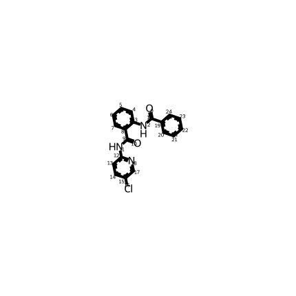 O=C(Nc1ccccc1C(=O)Nc1ccc(Cl)cn1)c1c[c]ccc1